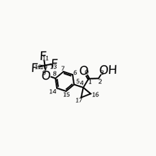 O=C(CO)C1(c2ccc(OC(F)(F)F)cc2)CC1